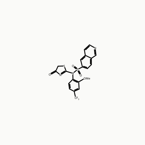 COc1cc(C(F)(F)F)ccc1N(C1=NC(=O)CS1)S(=O)(=O)c1ccc2cnccc2c1